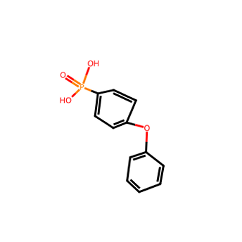 O=P(O)(O)c1ccc(Oc2ccccc2)cc1